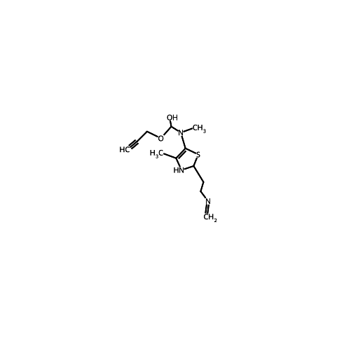 C#CCOC(O)N(C)C1=C(C)NC(CCN=C)S1